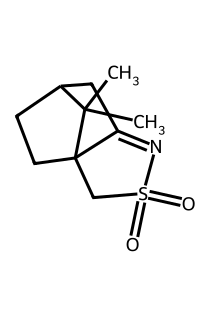 CC1(C)C2CCC13CS(=O)(=O)N=C3C2